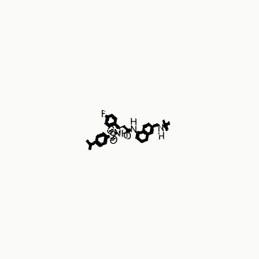 CC(C)c1ccc(S(=O)(=O)N[C@H](CC(=O)N[C@@H]2CCCc3cc(CNC(C)(C)C)ccc32)c2ccc(F)cc2)cc1